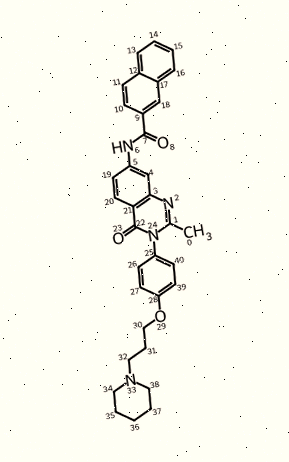 Cc1nc2cc(NC(=O)c3ccc4ccccc4c3)ccc2c(=O)n1-c1ccc(OCCCN2CCCCC2)cc1